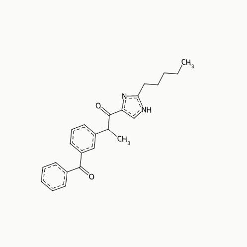 CCCCCc1nc(C(=O)C(C)c2cccc(C(=O)c3ccccc3)c2)c[nH]1